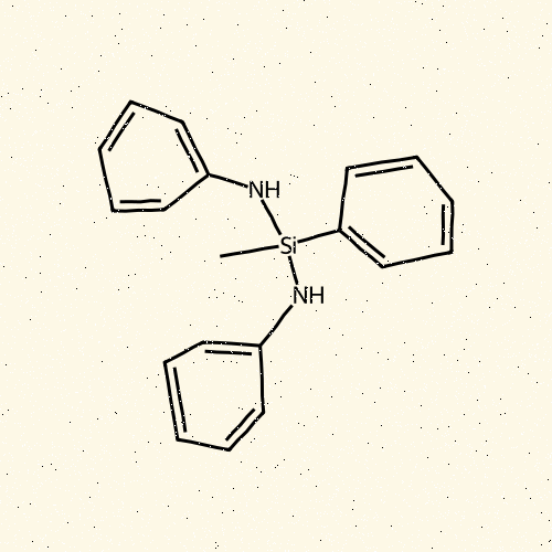 C[Si](Nc1ccccc1)(Nc1ccccc1)c1ccccc1